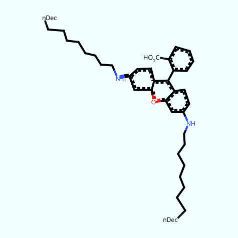 CCCCCCCCCCCCCCCCCC/N=c1\ccc2c(-c3ccccc3C(=O)O)c3ccc(NCCCCCCCCCCCCCCCCCC)cc3oc-2c1